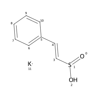 O=S(O)C=Cc1ccccc1.[K]